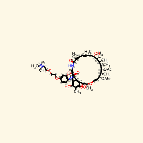 CO[C@H]1/C=C/O[C@@]2(C)Oc3c(C)c(O)c4c(=O)c(c5oc6cc(OCCOCC[N+](C)(C)C(C)C)ccc6nc-5c4c3C2=O)NC(=O)/C(C)=C\C=C\[C@H](C)[C@H](O)[C@@H](C)[C@@H](C)[C@@H](C)[C@H](OC(C)=O)[C@@H]1C